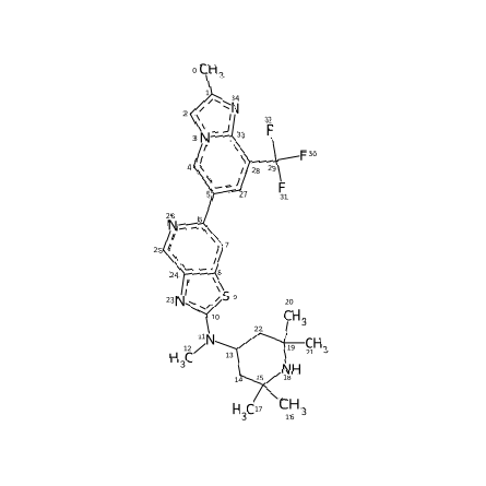 Cc1cn2cc(-c3cc4sc(N(C)C5CC(C)(C)NC(C)(C)C5)nc4cn3)cc(C(F)(F)F)c2n1